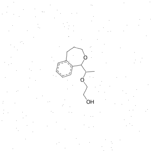 CC(OCCO)C1OCCCc2ccccc21